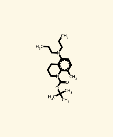 CCCN(CCC)c1ccc(C)c2c1CCCN2C(=O)OC(C)(C)C